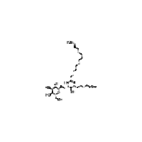 CCCC/C=C/C=C/C=C\CCCCCCCC(=O)N[C@@H](COC1OC(CO)C(O)C(O)C1O)[C@H](O)CCCCCCCCCCCCCCC